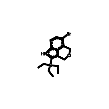 CC[Si](CC)(CC)c1[nH]c2ccc(Br)c3c2c1COC3